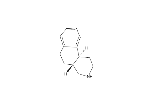 c1ccc2c(c1)CC[C@H]1CNCC[C@H]21